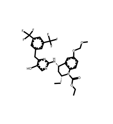 CCOC(=O)N1c2ccc(OCOC)cc2[C@@H](Nc2ncc(O)c(Cc3cc(C(F)(F)F)cc(C(F)(F)F)c3)n2)C[C@H]1CC